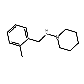 Cc1ccccc1CNN1CCCCC1